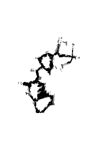 O=c1[nH]c2ccccc2cc1Cc1ccc(C(O)C(F)(F)F)cc1